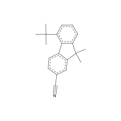 CC(C)(C)c1cccc2c1-c1ccc(C#N)cc1C2(C)C